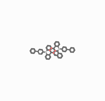 C1=CC(c2ccccc2)CC=C1N(c1ccccc1)c1ccccc1-c1ccc(-c2ccccc2N(c2ccc(-c3ccccc3)cc2)c2cccc3ccccc23)cc1